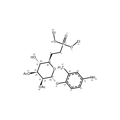 CCOP(=O)(CC[C@H]1O[C@H](Oc2ccc(N)cc2C)[C@@H](OC(C)=O)[C@@H](OC(C)=O)[C@@H]1O)OCC